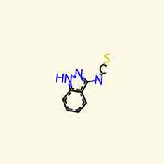 S=C=Nc1n[nH]c2ccccc12